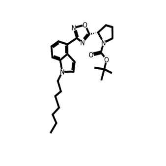 CCCCCCCn1ccc2c(-c3noc([C@@H]4CCCN4C(=O)OC(C)(C)C)n3)cccc21